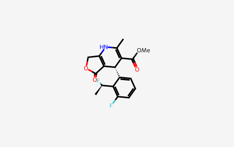 COC(=O)C1=C(C)NC2=C(C(=O)OC2)[C@H]1c1cccc(F)c1[C@@H](C)F